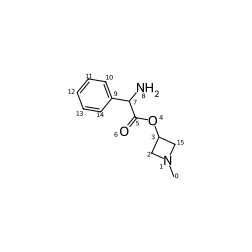 CN1CC(OC(=O)C(N)c2ccccc2)C1